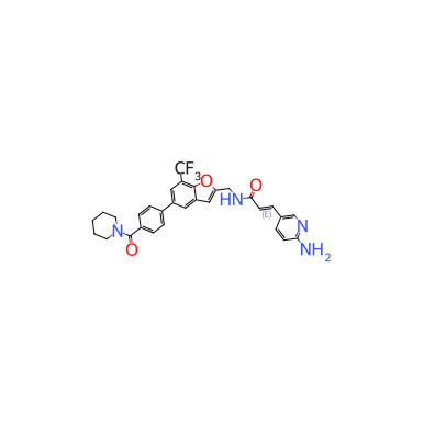 Nc1ccc(/C=C/C(=O)NCc2cc3cc(-c4ccc(C(=O)N5CCCCC5)cc4)cc(C(F)(F)F)c3o2)cn1